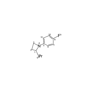 CC(C)C1CCN1c1ccc(F)cc1